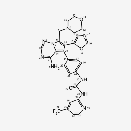 Nc1ncnn2c(CN3CCOCC3)c(-c3cnco3)c(-c3ccc(NC(=O)Nc4cc(C(F)(F)F)ccn4)cc3)c12